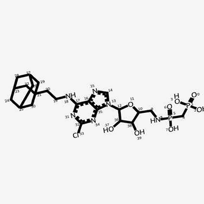 O=P(O)(O)CP(=O)(O)NCC1OC(n2cnc3c(NCCC45CC6CC(CC(C6)C4)C5)nc(Cl)nc32)C(O)C1O